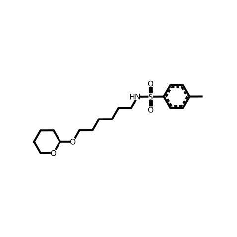 Cc1ccc(S(=O)(=O)NCCCCCCOC2CCCCO2)cc1